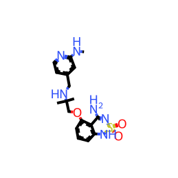 CNc1cc(CNC(C)(C)COc2cccc3c2C(N)=NS(=O)(=O)N3)ccn1